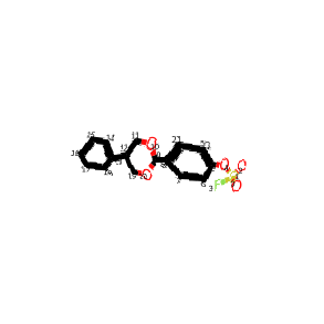 O=S(=O)(F)Oc1ccc(C2OCC(c3ccccc3)CO2)cc1